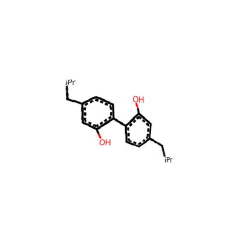 CC(C)Cc1ccc(-c2ccc(CC(C)C)cc2O)c(O)c1